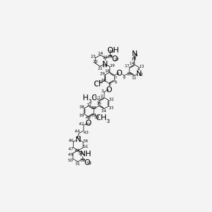 Cc1c(COc2cc(OCc3cncc(C#N)c3)c(CN3CCCCC3C(=O)O)cc2Cl)cccc1-c1cccc(OCCCN2CCC3(CCCC(=O)N3)CC2)c1C